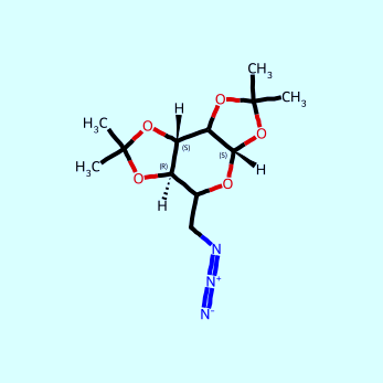 CC1(C)OC2[C@@H](OC(CN=[N+]=[N-])[C@H]3OC(C)(C)O[C@H]23)O1